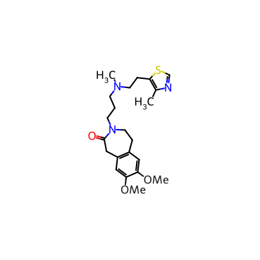 COc1cc2c(cc1OC)CC(=O)N(CCCN(C)CCc1scnc1C)CC2